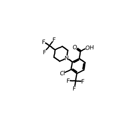 O=C(O)c1ccc(C(F)(F)F)c(Cl)c1N1CCC(C(F)(F)F)CC1